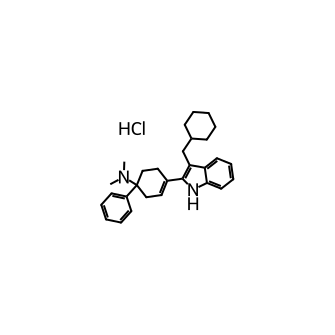 CN(C)C1(c2ccccc2)CC=C(c2[nH]c3ccccc3c2CC2CCCCC2)CC1.Cl